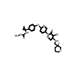 CC(C)(C)OC(=O)NC1(c2ccc(Oc3ccc(-n4ncc(NCC5(F)CCCOC5)c(Cl)c4=O)cn3)cc2)CC1